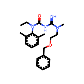 CCN(C(=O)NC(=N)N(C)CCOCc1ccccc1)c1c(C)cccc1C